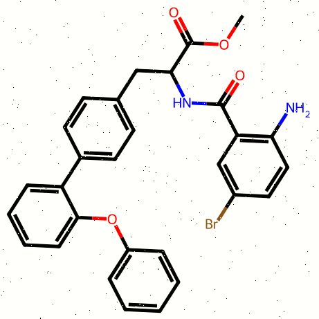 COC(=O)C(Cc1ccc(-c2ccccc2Oc2ccccc2)cc1)NC(=O)c1cc(Br)ccc1N